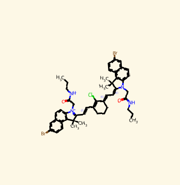 CCCNC(=O)CN1/C(=C/C=C2\CCCC(/C=C/C3=[N+](CC(=O)NCCC)c4ccc5cc(Br)ccc5c4C3(C)C)=C2Cl)C(C)(C)c2c1ccc1cc(Br)ccc21